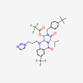 CC(C)[C@H]1C(=O)N(Cc2ccc(C(C)(C)C)cc2)C(OC(=O)C(F)(F)F)C2N(CCCn3ccnc3)c3ccc(C(F)(F)F)cc3C(=O)N21